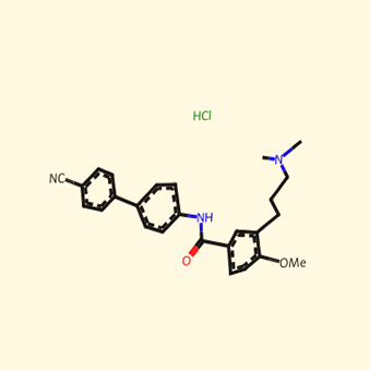 COc1ccc(C(=O)Nc2ccc(-c3ccc(C#N)cc3)cc2)cc1CCCN(C)C.Cl